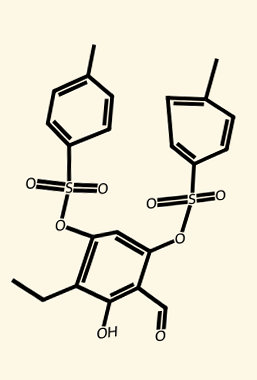 CCc1c(OS(=O)(=O)c2ccc(C)cc2)cc(OS(=O)(=O)c2ccc(C)cc2)c(C=O)c1O